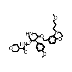 COCCCN1CCOc2ccc(CO[C@H]3CNC[C@@H](CNC(=O)C4CCOCC4)[C@@H]3c3ccc(OC)cc3)cc21